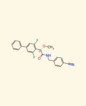 CO[C@H](C(=O)NCc1ccc(C#N)cc1)c1c(F)cc(-c2ccccc2)cc1F